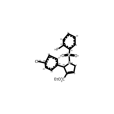 CCOC(=O)C1=CCN(S(=O)(=O)c2ccccc2F)C1c1ccc(Cl)cc1